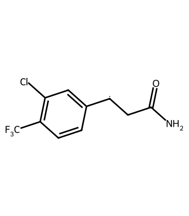 NC(=O)C[CH]c1ccc(C(F)(F)F)c(Cl)c1